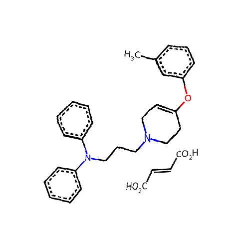 Cc1cccc(OC2=CCN(CCCN(c3ccccc3)c3ccccc3)CC2)c1.O=C(O)C=CC(=O)O